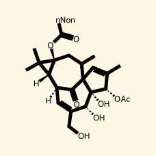 CCCCCCCCCC(=O)O[C@@]12CC(C)C34C=C(C)[C@H](OC(C)=O)[C@@]3(O)[C@H](O)C(CO)=C[C@H](C4=O)[C@@H]1C2(C)C